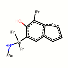 CCCCN[Si](c1cc2ccccc2c(C(C)C)c1O)(C(C)C)C(C)C